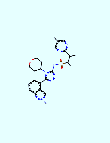 Cc1cnc(C(C)C(C)S(=O)(=O)Nc2nnc(-c3cccc4nn(C)cc34)n2C2CCOCC2)nc1